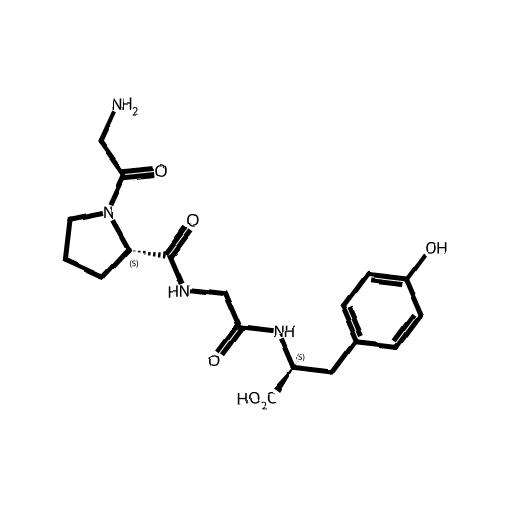 NCC(=O)N1CCC[C@H]1C(=O)NCC(=O)N[C@@H](Cc1ccc(O)cc1)C(=O)O